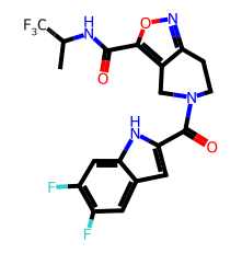 CC(NC(=O)c1onc2c1CN(C(=O)c1cc3cc(F)c(F)cc3[nH]1)CC2)C(F)(F)F